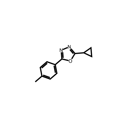 Cc1ccc(-c2nnc(C3CC3)o2)cc1